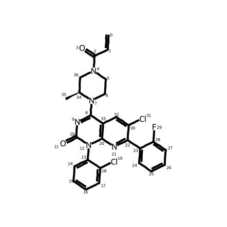 C=CC(=O)N1CCN(c2nc(=O)n(-c3ccccc3Cl)c3nc(-c4ccccc4F)c(Cl)cc23)[C@@H](C)C1